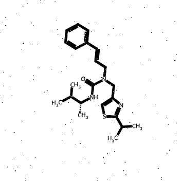 CC(C)c1nc(CN(C/C=C/c2ccccc2)C(=O)N[C@H](C)C(C)C)cs1